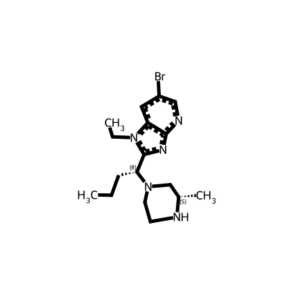 CCC[C@H](c1nc2ncc(Br)cc2n1CC)N1CCN[C@@H](C)C1